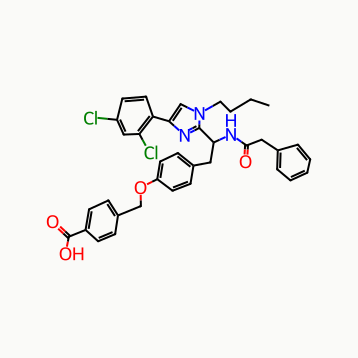 CCCCn1cc(-c2ccc(Cl)cc2Cl)nc1C(Cc1ccc(OCc2ccc(C(=O)O)cc2)cc1)NC(=O)Cc1ccccc1